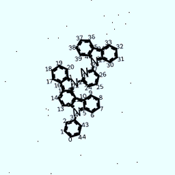 c1ccc(-n2c3ccccc3c3c2ccc2c4ccccc4n(-c4cccc(-n5c6ccccc6c6ccccc65)n4)c23)cc1